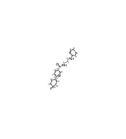 O=C(NCCCNc1ccccn1)c1ccc(-c2ccc(F)cc2)nc1